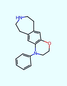 c1ccc(N2CCOc3cc4c(cc32)CCNCC4)cc1